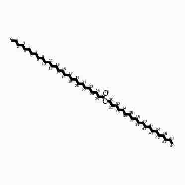 CCCCCCCCCCCCCCCCCCCCCCCCCCCC(=O)OCCCCCCCCCCCCCCCCCCCC